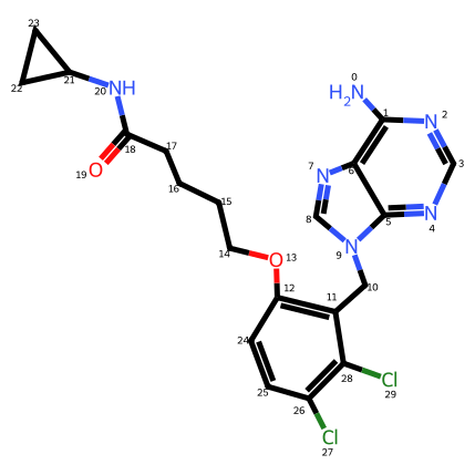 Nc1ncnc2c1ncn2Cc1c(OCCCCC(=O)NC2CC2)ccc(Cl)c1Cl